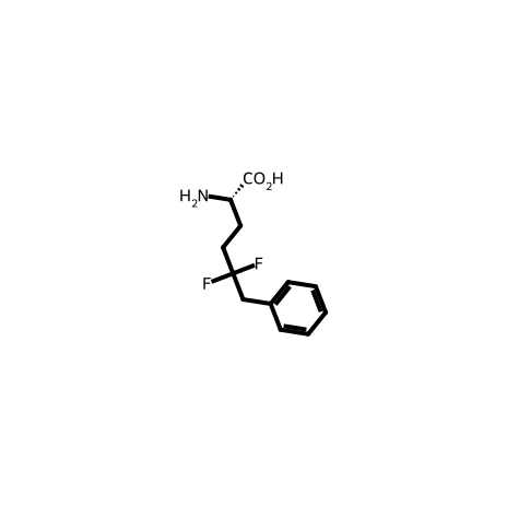 N[C@@H](CCC(F)(F)Cc1ccccc1)C(=O)O